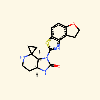 O=C1N[C@H]2CCNC3(CC3)[C@H]2N1c1nc2c3c(ccc2s1)OCC3